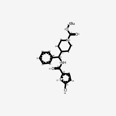 CC(C)(C)OC(=O)N1CCC(C(NC(=O)c2ccc(Cl)s2)c2ccccc2)CC1